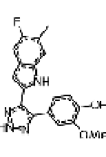 COc1cc(-c2n[nH]nc2-c2cc3cc(F)c(C)cc3[nH]2)ccc1O